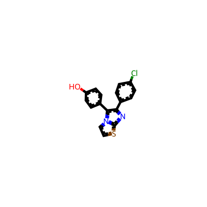 Oc1ccc(-c2c(-c3ccc(Cl)cc3)nc3sccn23)cc1